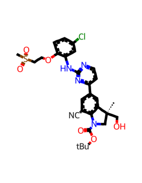 CC(C)(C)OC(=O)N1C[C@](C)(CO)c2cc(-c3ccnc(Nc4cc(Cl)ccc4OCCS(C)(=O)=O)n3)cc(C#N)c21